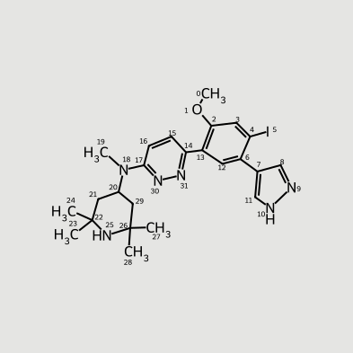 COc1cc(I)c(-c2cn[nH]c2)cc1-c1ccc(N(C)C2CC(C)(C)NC(C)(C)C2)nn1